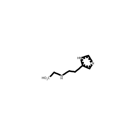 O=C(O)CNCCc1cnc[nH]1